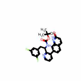 CC(C)(C)OC(=O)NC(Cc1cc(F)cc(F)c1)c1ncccc1-c1ccc2ccc(=O)[nH]c2c1